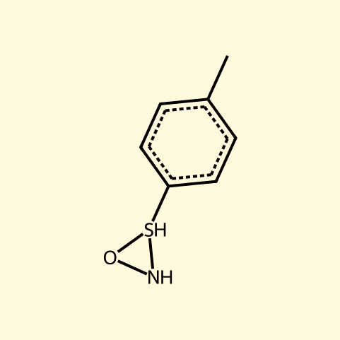 Cc1ccc([SH]2NO2)cc1